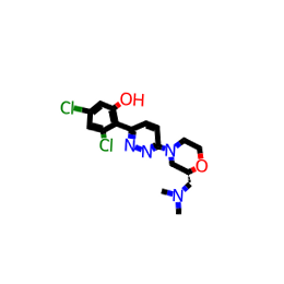 CN(C)C[C@@H]1CN(c2ccc(-c3c(O)cc(Cl)cc3Cl)nn2)CCO1